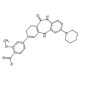 COc1cc(C2=CC3=C(CC2)C(=O)Nc2ccc(N4CCCCC4)cc2N3)ccc1[N+](=O)[O-]